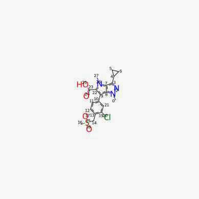 Cn1nc(C2CC2)c2c1c(-c1ccc(CS(C)(=O)=O)c(Cl)c1)c(C(=O)O)n2C